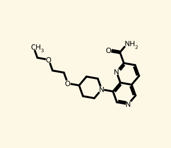 CCOCCOC1CCN(c2cncc3ccc(C(N)=O)nc23)CC1